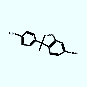 COc1ccc(C(C)(C)c2ccc(N)cc2)c(OC)c1